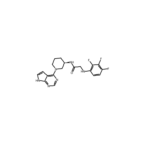 O=C(CNc1ccc(F)c(F)c1F)N[C@@H]1CCCN(c2ncnc3[nH]ccc23)C1